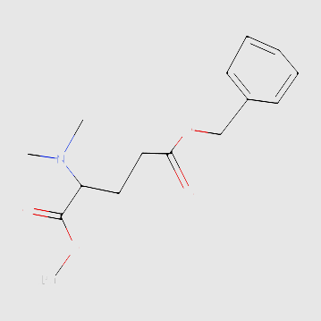 CN(C)C(CCC(=O)OCc1ccccc1)C(=O)OC(C)(C)C